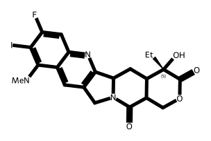 CC[C@@]1(O)C(=O)OCC2C(=O)N3Cc4cc5c(NC)c(I)c(F)cc5nc4C3CC21